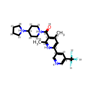 Cc1cc(-c2cncc(C(F)(F)F)c2)nc(C)c1C(=O)N1CCC(N2CCCC2)CC1